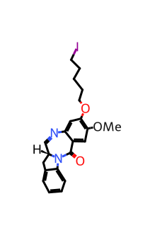 COc1cc2c(cc1OCCCCCI)N=C[C@H]1Cc3ccccc3N1C2=O